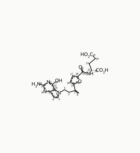 C=C(CCn1ccc2nc(N)nc(O)c21)c1ccc(C(=O)N[C@H](CCC(=O)O)C(=O)O)o1